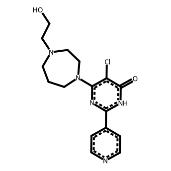 O=c1[nH]c(-c2ccncc2)nc(N2CCCN(CCO)CC2)c1Cl